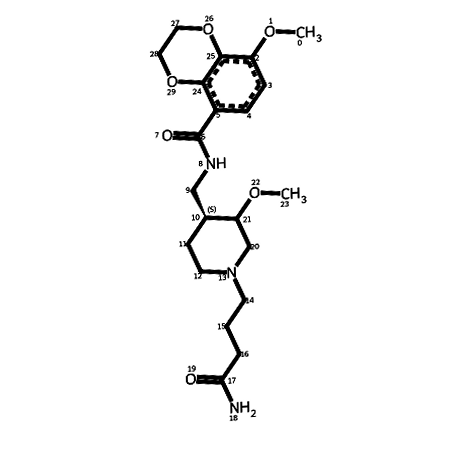 COc1ccc(C(=O)NC[C@@H]2CCN(CCCC(N)=O)CC2OC)c2c1OCCO2